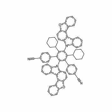 N#Cc1ccc(-c2c(C3CCCCC3)c(-n3c4ccccc4c4c5c(ccc43)oc3ccccc35)c(C3CCCCC3)c(-c3ccc(C#N)cc3)c2-n2c3ccccc3c3c4c(ccc32)oc2ccccc24)cc1